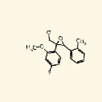 COc1cc(F)ccc1C1(CCl)OC1c1ccccc1C